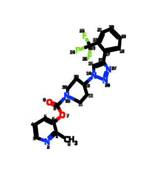 Cc1ncccc1OC(=O)N1CCC(n2cc(-c3ccccc3C(F)(F)F)nn2)CC1